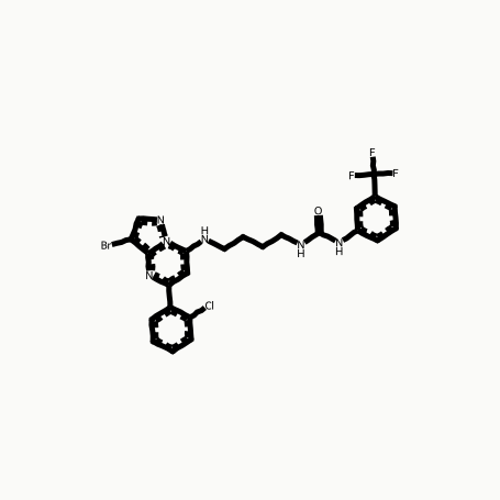 O=C(NCCCCNc1cc(-c2ccccc2Cl)nc2c(Br)cnn12)Nc1cccc(C(F)(F)F)c1